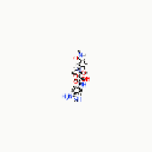 CN(C)C(=O)c1cccc(N2CCO[C@H]([C@@H](O)C(=O)Nc3ccc(C(=N)N)cc3)C2=O)c1